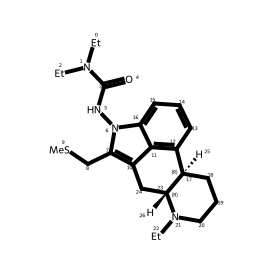 CCN(CC)C(=O)Nn1c(CSC)c2c3c(cccc31)[C@H]1CCCN(CC)[C@@H]1C2